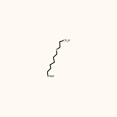 CCCCCCCCCCCCCSCCC(=O)O